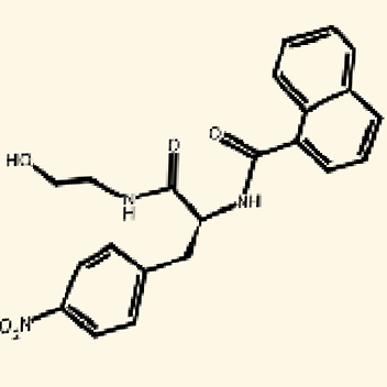 O=C(N[C@@H](Cc1ccc([N+](=O)[O-])cc1)C(=O)NCCO)c1cccc2ccccc12